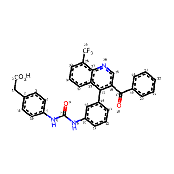 O=C(O)Cc1ccc(NC(=O)Nc2cccc(-c3c(C(=O)c4ccccc4)cnc4c(C(F)(F)F)cccc34)c2)cc1